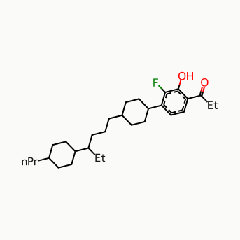 CCCC1CCC(C(CC)CCCC2CCC(c3ccc(C(=O)CC)c(O)c3F)CC2)CC1